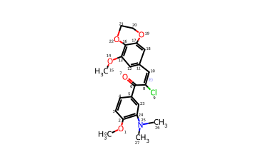 COc1ccc(C(=O)/C(Cl)=C\c2cc(OC)c3c(c2)OCCO3)cc1N(C)C